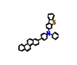 c1ccc(N(c2ccc(-c3ccc4c(ccc5c6ccccc6ccc45)c3)cc2)c2ccc3c(c2)sc2ccccc23)cc1